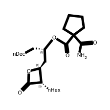 CCCCCCCCCCC[C@@H](C[C@@H]1OC(=O)[C@H]1CCCCCC)OC(=O)C1(C(N)=O)CCCC1